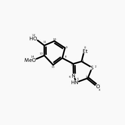 CCC1SC(=O)NN=C1c1ccc(O)c(OC)c1